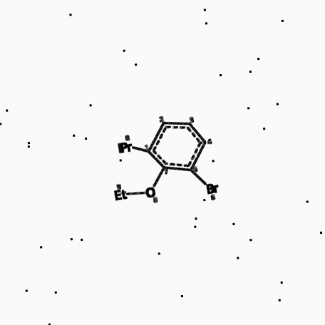 [CH2]C(C)c1cccc(Br)c1OCC